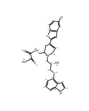 CC1CC(c2cc3cc(Cl)ccc3s2)=CCN1C[C@H](O)COc1cccc2[nH]ccc12.O=C(O)C(=O)O